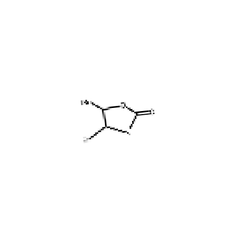 CCC1SC(=O)OC1C(C)(C)C